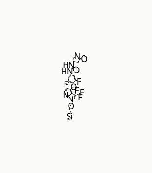 CN1CC(NC(=O)Nc2cc(F)c(Oc3ccnc4c3c(C(F)(F)F)cn4COCC[Si](C)(C)C)c(F)c2)CC1=O